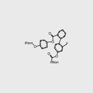 CCCCCCCCCC(=O)Oc1ccc(-c2ccccc2C(=O)Oc2ccc(OC(C)CCC)cc2)c(F)c1